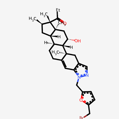 CCC(=O)[C@@]1(C)[C@H](C)C[C@H]2[C@@H]3CCC4=Cc5c(cnn5Cc5ccc(CBr)o5)C[C@]4(C)[C@H]3[C@@H](O)C[C@@]21C